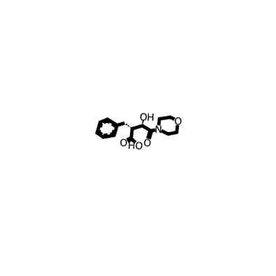 O=C(O)[C@H](Cc1ccccc1)[C@H](O)C(=O)N1CCOCC1